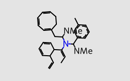 C=CC1C=CC=CC1/C(=C\C)N(C(C/C1=C/C=C\C=C/CC1)NC)C(NC)c1cccc(C)c1